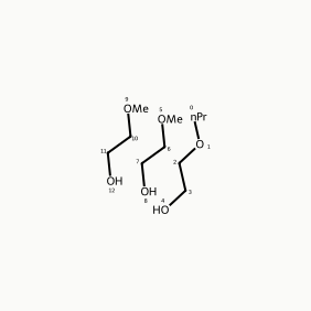 CCCOCCO.COCCO.COCCO